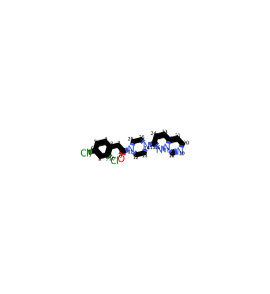 O=C(Cc1ccc(Cl)cc1Cl)N1CCN(C2=NN3C=NCC=C3C=C2)CC1